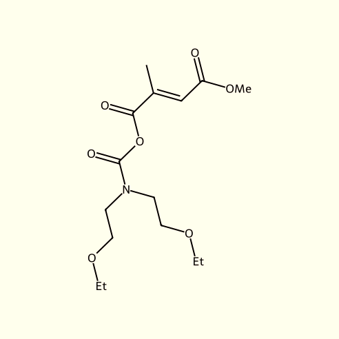 CCOCCN(CCOCC)C(=O)OC(=O)/C(C)=C/C(=O)OC